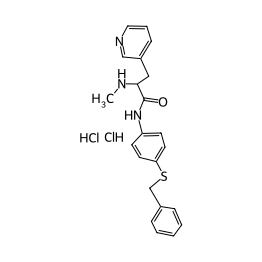 CNC(Cc1cccnc1)C(=O)Nc1ccc(SCc2ccccc2)cc1.Cl.Cl